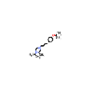 CC(C)O[C@H]1CC[C@H](CCCCN2CCN(C(C)C)[C@@H](C)C2)CC1